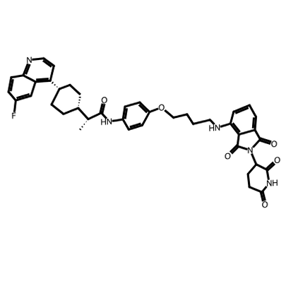 C[C@@H](C(=O)Nc1ccc(OCCCCNc2cccc3c2C(=O)N(C2CCC(=O)NC2=O)C3=O)cc1)[C@H]1CC[C@@H](c2ccnc3ccc(F)cc32)CC1